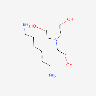 NCCCCCCN.OCCN(CCO)CCO